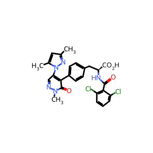 Cc1cc(C)n(-c2cnn(C)c(=O)c2-c2ccc(C[C@H](NC(=O)c3c(Cl)cccc3Cl)C(=O)O)cc2)n1